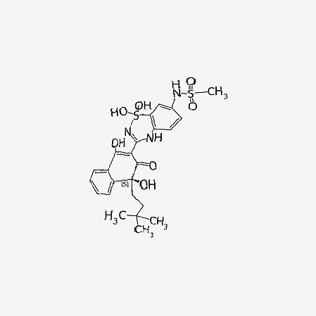 CC(C)(C)CC[C@@]1(O)C(=O)C(C2=NS(O)(O)c3cc(NS(C)(=O)=O)ccc3N2)=C(O)c2ccccc21